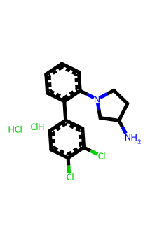 Cl.Cl.NC1CCN(c2ccccc2-c2ccc(Cl)c(Cl)c2)C1